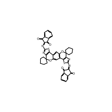 O=c1c(=Nc2nc3c(s2)-c2cc4c(cc2OC32CCCCC2)-c2sc(N=c3c(=O)c5ccccc5c3=O)nc2C2(CCCCC2)O4)c(=O)c2ccccc12